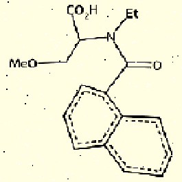 CCN(C(=O)c1cccc2ccccc12)C(COC)C(=O)O